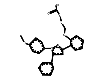 COc1ccc(-n2nc(-c3ccccc3OCCCC(=O)O)cc2-c2ccccc2)cc1